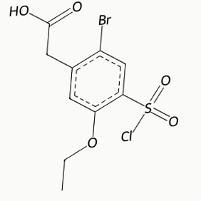 CCOc1cc(CC(=O)O)c(Br)cc1S(=O)(=O)Cl